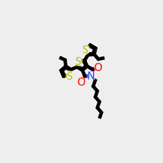 CCCCCCCCN1C(=O)c2c(-c3sccc3CC)sc(-c3sccc3CC)c2C1=O